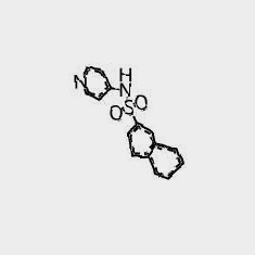 O=S(=O)(Nc1ccncc1)c1ccc2ccccc2c1